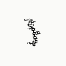 COC(=O)NC(C(=O)N1CCCC1c1nc2ccc(-c3ccc(-c4ccc(-c5cnc(C6C=CCN6C(=O)CC(C)C)[nH]5)cc4)c4c3CC3(CCCC3)C4)cc2[nH]1)C(C)C